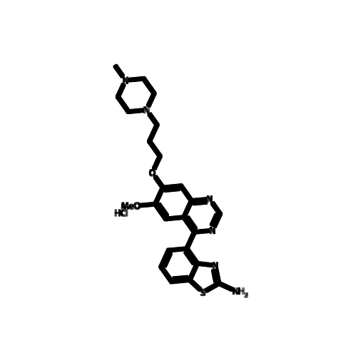 COc1cc2c(-c3cccc4sc(N)nc34)ncnc2cc1OCCCN1CCN(C)CC1.Cl